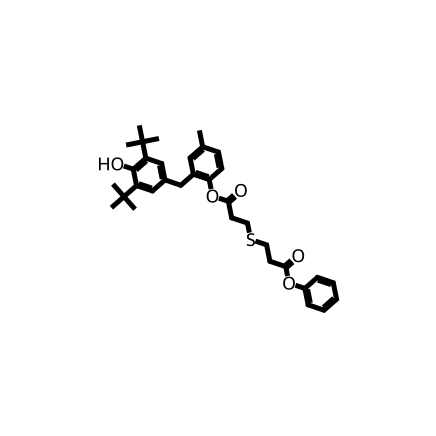 Cc1ccc(OC(=O)CCSCCC(=O)Oc2ccccc2)c(Cc2cc(C(C)(C)C)c(O)c(C(C)(C)C)c2)c1